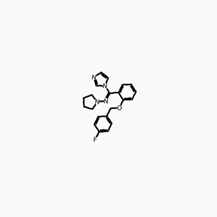 Fc1ccc(COc2ccccc2/C(=N/N2CCCC2)n2ccnc2)cc1